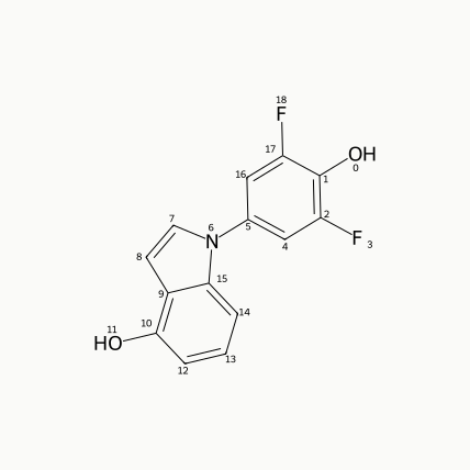 Oc1c(F)cc(-n2ccc3c(O)cccc32)cc1F